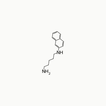 NCCCCCNc1ccc2ccccc2c1